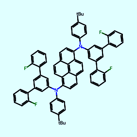 CC(C)(C)c1ccc(N(c2cc(-c3ccccc3F)cc(-c3ccccc3F)c2)c2ccc3ccc4c(N(c5ccc(C(C)(C)C)cc5)c5cc(-c6ccccc6F)cc(-c6ccccc6F)c5)ccc5ccc2c3c54)cc1